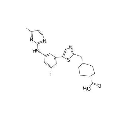 Cc1cc(Nc2nccc(C)n2)cc(-c2cnc(C[C@H]3CC[C@@H](C(=O)O)CC3)s2)c1